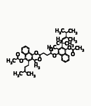 CC(=O)Oc1c(CC=C(C)C)c(C)c(OC(=O)CCC(=O)Oc2c(C)c(C(C)(C)/C=C(\C)C(C)C)c(OC(C)=O)c3ccccc23)c2ccccc12